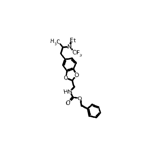 CCN(C(C)Cc1ccc2c(c1)OC(CNC(=O)OCc1ccccc1)O2)C(F)(F)F